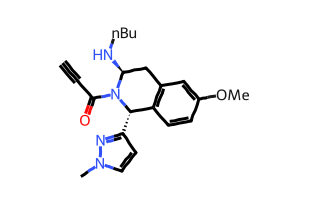 C#CC(=O)N1[C@@H](c2ccn(C)n2)c2ccc(OC)cc2C[C@@H]1NCCCC